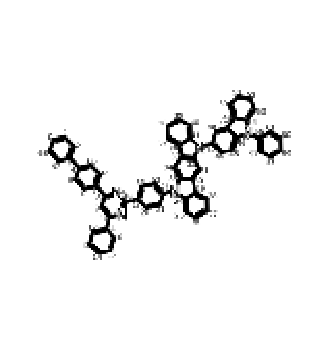 c1ccc(-c2ccc(-c3cc(-c4ccccc4)nc(-c4ccc(-n5c6ccccc6c6cc7c(cc65)c5ccccc5n7-c5ccc6c(c5)c5ccccc5n6-c5ccccc5)cc4)n3)cc2)cc1